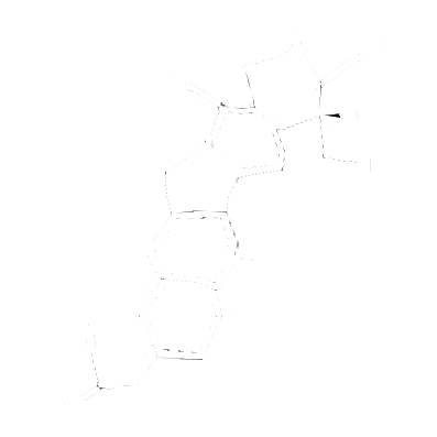 CC[C@@]1(O)C(=O)OCc2c1cc1n(c2=O)Cc2cc3cc(OC(=O)Cl)ccc3nc2-1